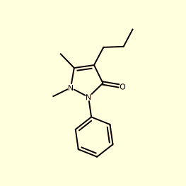 CCCc1c(C)n(C)n(-c2ccccc2)c1=O